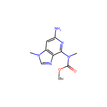 CN(C(=O)OC(C)(C)C)c1nc(N)cc2c1ncn2C